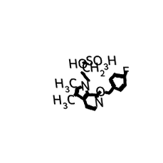 C=CCn1c(C)c(C)c2ccnc(OCc3ccc(F)cc3)c21.O=S(=O)(O)O